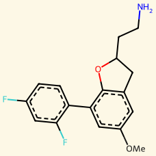 COc1cc2c(c(-c3ccc(F)cc3F)c1)OC(CCN)C2